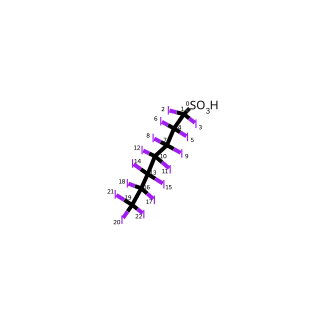 O=S(=O)(O)C(I)(I)C(I)(I)C(I)(I)C(I)(I)C(I)(I)C(I)(I)C(I)(I)I